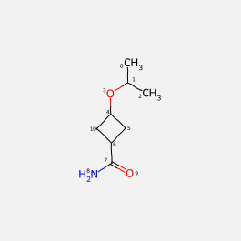 CC(C)OC1CC(C(N)=O)C1